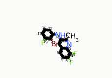 Cc1nc2c(F)c(F)ccc2cc1Nc1cccc(F)c1Br